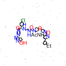 CCc1cccc(-c2cnc(C(=O)N3CCC(OC4CCN(CC(=O)NCCNC[C@@H](C(=O)N5CCN(c6ncnc7c6[C@H](C)C[C@H]7O)CC5)c5ccc(Cl)cc5)CC4)CC3)c(NC(C)=O)c2)c1